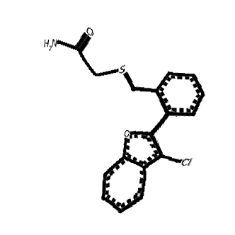 NC(=O)CSCc1ccccc1-c1oc2ccccc2c1Cl